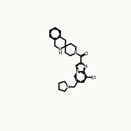 CCc1cc(CN2CCCC2)cn2cc(C(=O)N3CCC4(CC3)Cc3ccccc3CN4)nc12